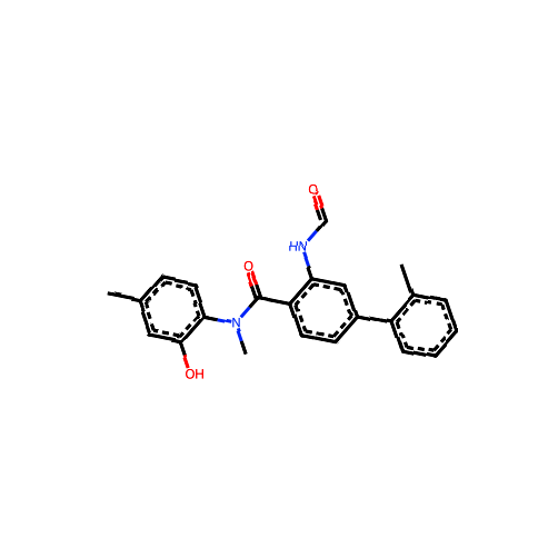 Cc1ccc(N(C)C(=O)c2ccc(-c3ccccc3C)cc2NC=O)c(O)c1